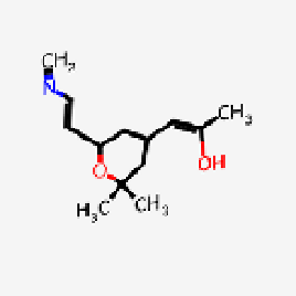 C=NC=CC1CC(C=C(C)O)CC(C)(C)O1